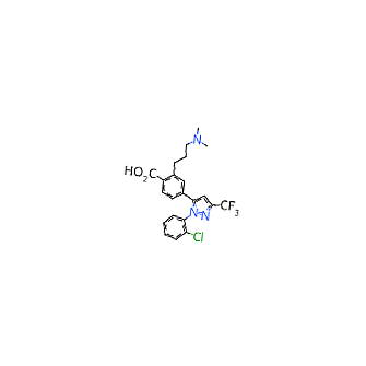 CN(C)CCCc1cc(-c2cc(C(F)(F)F)nn2-c2ccccc2Cl)ccc1C(=O)O